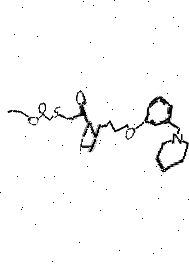 CCOC(=O)CSCC(=O)NCCCOc1cccc(CN2CCCCC2)c1